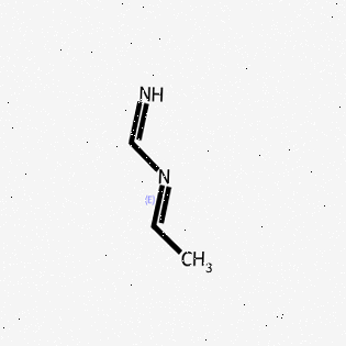 C/C=N/C=N